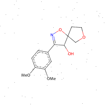 COc1ccc(C2=NOC3(CCOC3)C2O)cc1OC